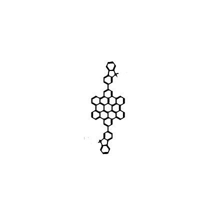 CCCCCCCCC1(CCCCCCCC)c2ccccc2-c2ccc(-c3cc4c5cccc6c7cccc8c9cc(-c%10ccc%11c(c%10)C(CCCCCCCC)(CCCCCCCC)c%10ccccc%10-%11)cc%10c%11cccc%12c%13cccc%14c(c3)c4c3c(c65)c(c78)c(c9%10)c(c%12%11)c3c%13%14)cc21